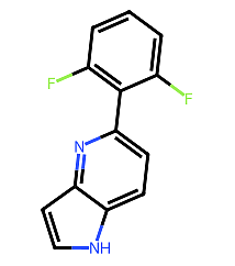 Fc1cccc(F)c1-c1ccc2[nH]ccc2n1